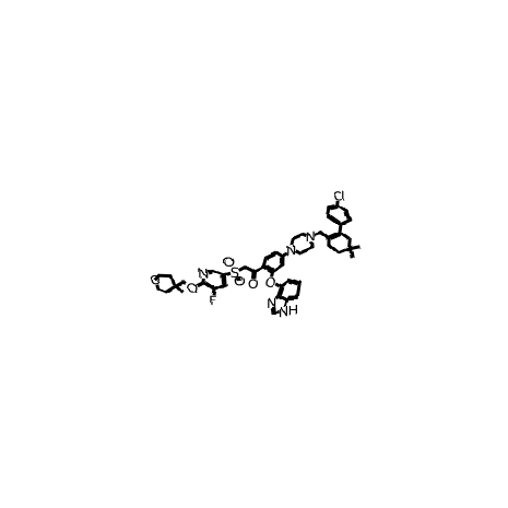 CC1(C)CCC(CN2CCN(c3ccc(C(=O)CS(=O)(=O)c4cnc(OCC5(C)CCOCC5)c(F)c4)c(Oc4cccc5[nH]cnc45)c3)CC2)=C(c2ccc(Cl)cc2)C1